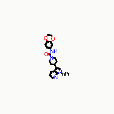 CCCn1cc(C2CCN(C(=O)Nc3ccc4c(c3)OCCO4)CC2)c2cccnc21